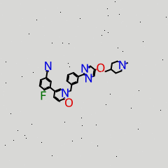 CN1CCC(COc2cnc(-c3cccc(Cn4cc(-c5cc(C#N)ccc5F)ccc4=O)c3)nc2)CC1